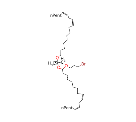 CCCCC/C=C\C/C=C\CCCCCCCCO[Si](C)(C)OC(CCCCCCC/C=C\C/C=C\CCCCC)OCCCBr